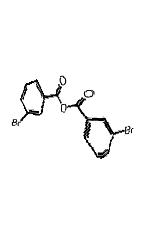 O=C(OC(=O)c1cccc(Br)c1)c1cccc(Br)c1